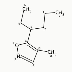 CCCC(CC)c1oncc1C